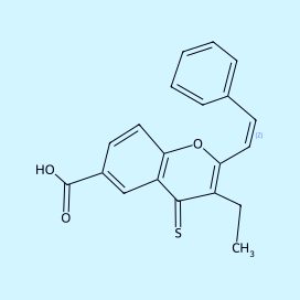 CCc1c(/C=C\c2ccccc2)oc2ccc(C(=O)O)cc2c1=S